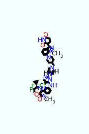 Cn1nc(C2CCC(=O)NC2=O)c2cccc(N3CCC(CN4C[C@H]5C[C@@H]4CN5c4ncc(Cl)c(Nc5ccc6c(c5)c5c(c(=O)n6C)OCC(F)(F)[C@H](C6CC6)N5)n4)CC3)c21